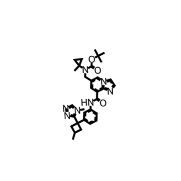 CC1CC(c2cccc(NC(=O)c3cc(CN(C(=O)OC(C)(C)C)C4(C)CC4)cn4ccnc34)c2)(c2nncn2C)C1